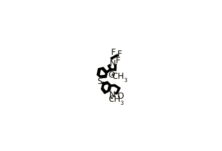 COC1(c2cccc(Sc3ccc4c(c3)CCC(=O)N4C)c2)CCN(CC(F)(F)F)C1